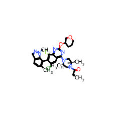 C=CC(=O)N1C[C@H](C)N(c2nc(OC3CCCOC3)nc3c(F)c(-c4c(C)ccc5cnn(C)c45)c(Cl)cc23)C[C@H]1C